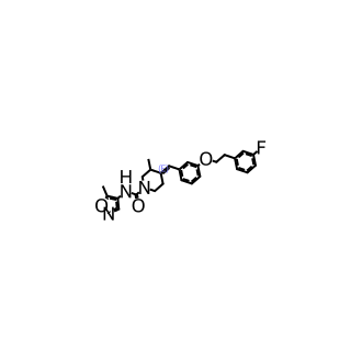 Cc1oncc1NC(=O)N1CC/C(=C\c2cccc(OCCc3cccc(F)c3)c2)C(C)C1